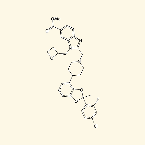 COC(=O)c1ccc2nc(CN3CCC(c4cccc5c4OC(C)(c4ccc(Cl)cc4F)O5)CC3)n(C[C@@H]3CCO3)c2c1